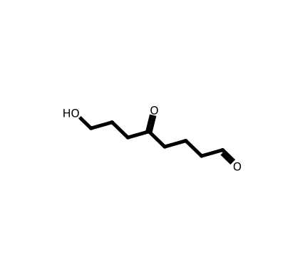 O=CCCCC(=O)CCCO